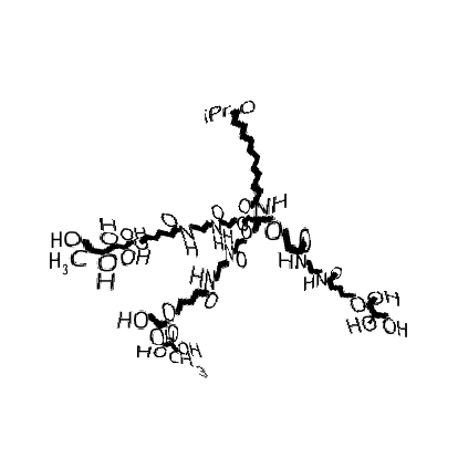 CC(C)C(=O)CCCCCCCCCCC(=O)NC(COCCC(=O)NCCCNC(=O)CCCCOC(O)C(O)C(O)C(O)C(C)CO)(COCCC(=O)NCCCNC(=O)CCCCOC(O)[C@H](O)CO)COCCC(=O)NCCCNC(=O)CCCCOC(OC(CO)[C@H](C)O)[C@H](O)CO